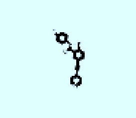 O=C(Nc1ccc(F)cc1)c1cc(C#Cc2ccncc2)ccc1F